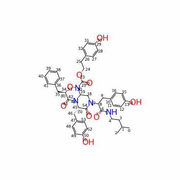 CC(C)CCNC(=O)C(Cc1ccc(O)cc1)N1CC2N(C(=O)OCCc3ccc(O)cc3)O[C@H](Cc3ccccc3)C(=O)N2[C@@H](Cc2ccc(O)cc2)C1=O